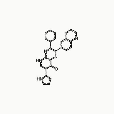 O=c1c(-c2ccc[nH]2)c[nH]c2nc(-c3ccccc3)c(-c3ccc4ncccc4c3)nc12